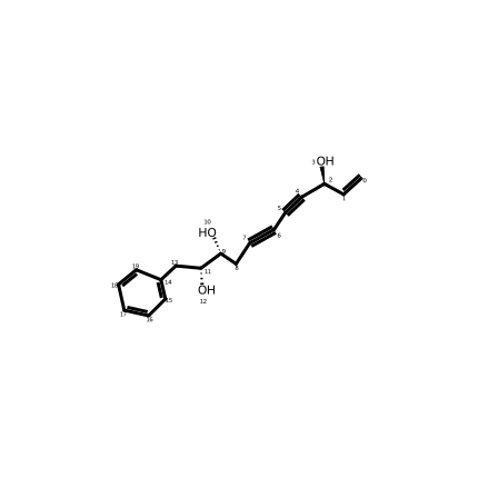 C=C[C@H](O)C#CC#CC[C@@H](O)[C@H](O)Cc1ccccc1